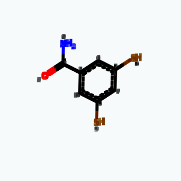 NC(=O)c1cc(S)cc(S)c1